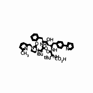 CCC(C)[C@@H](C(=O)N[C@@H](Cc1ccccc1)[C@@H](O)C[C@@H](Cc1ccc(-c2ccccn2)cc1)NC(=O)[C@@H](NC(=O)O)C(C)(C)C)N1CCN(Cc2cccc(C)n2)C1=O